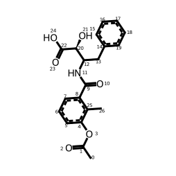 CC(=O)Oc1cccc(C(=O)NC(Cc2ccccc2)[C@H](O)C(=O)O)c1C